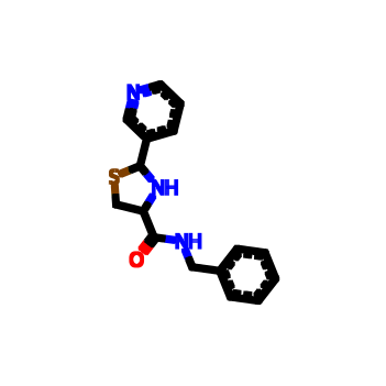 O=C(NCc1ccccc1)C1CSC(c2cccnc2)N1